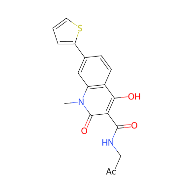 CC(=O)CNC(=O)c1c(O)c2ccc(-c3cccs3)cc2n(C)c1=O